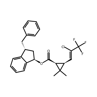 CC1(C)[C@H](C=C(Cl)C(F)(F)F)[C@@H]1C(=O)O[C@@H]1C[C@@H](Cc2ccccc2)c2ccccc21